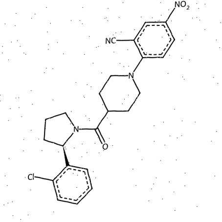 N#Cc1cc([N+](=O)[O-])ccc1N1CCC(C(=O)N2CCC[C@@H]2c2ccccc2Cl)CC1